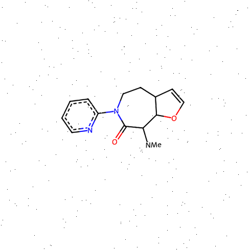 CNC1C(=O)N(c2ccccn2)CCC2C=COC21